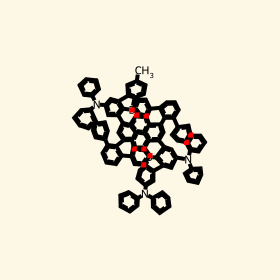 Cc1ccc2c(c1)-c1cc(N(c3ccccc3)c3ccccc3)cc3c1B2c1cc2c(-c4c(-c5ccccc5)cccc4-c4ccccc4)cc4c5c(cc6c(-c7c(-c8ccccc8)cccc7-c7ccccc7)cc-3c1c6c25)B1c2ccc(N(c3ccccc3)c3ccccc3)cc2-c2cc(N(c3ccccc3)c3ccccc3)cc-4c21